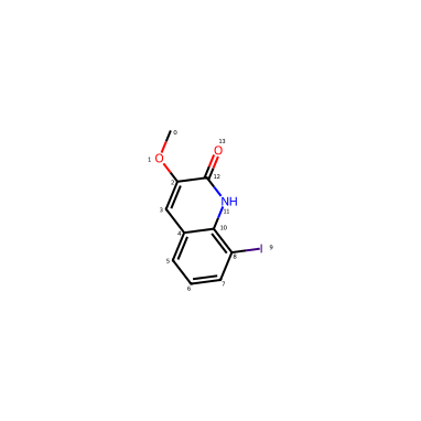 COc1cc2cccc(I)c2[nH]c1=O